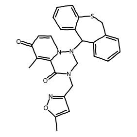 Cc1cc(CN2CN(C3c4ccccc4CSc4ccccc43)n3ccc(=O)c(C)c3C2=O)no1